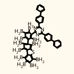 Bc1c(B)c(-c2nc(-c3ccc(-c4ccccc4)cc3)nc(-c3ccc(-c4ccccc4)cc3)n2)c(B)c(-c2c(B)c(B)c3c(sc4c(B)c(B)c(B)c(B)c43)c2B)c1B